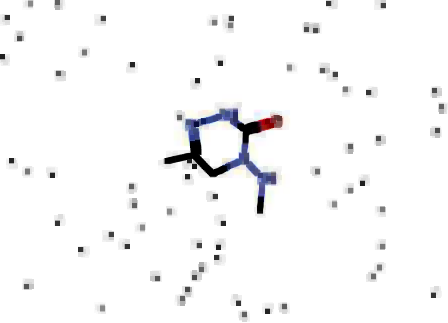 CNN1CC(C)=NNC1=O